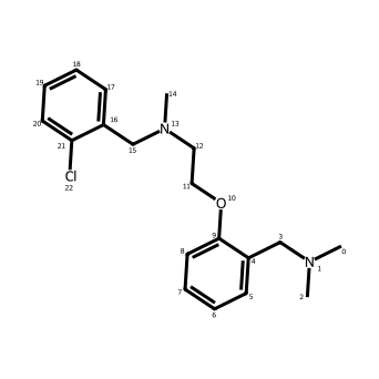 CN(C)Cc1ccccc1OCCN(C)Cc1ccccc1Cl